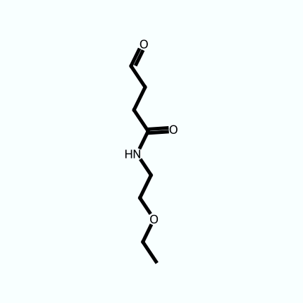 CCOCCNC(=O)CCC=O